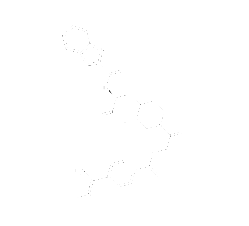 CC(NC(=O)c1ccc(/C(N)=N/O)cc1)C(=O)N1CCC(O[C@H](NC(=O)c2nc3ccccc3s2)C(=O)O)CC1